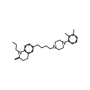 C=C1CCc2cc(CCCCN3CCN(c4cccc(C)c4C)CC3)ccc2N1CCC